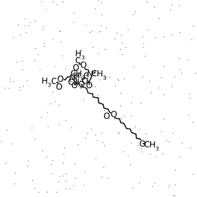 COCCCCCCCCCCOC(=O)CCCCCCCCC(COC(=O)C[N+](C)(C)CCOC(C)=O)OC(=O)C[N+](C)(C)CCOC(C)=O